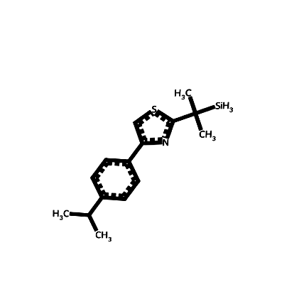 CC(C)c1ccc(-c2csc(C(C)(C)[SiH3])n2)cc1